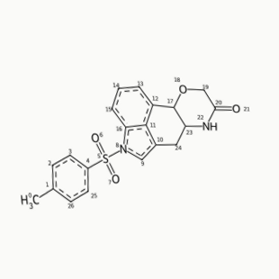 Cc1ccc(S(=O)(=O)n2cc3c4c(cccc42)C2OCC(=O)NC2C3)cc1